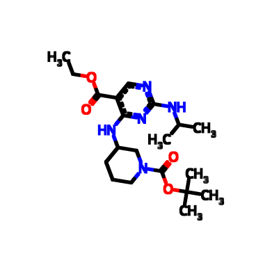 CCOC(=O)c1cnc(NC(C)C)nc1NC1CCCN(C(=O)OC(C)(C)C)C1